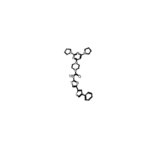 O=C(Nc1nc(-c2cc(-c3ccccc3)cs2)cs1)N1CCN(c2cc(N3CCCC3)nc(N3CCCC3)n2)CC1